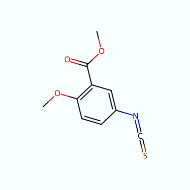 COC(=O)c1cc(N=C=S)ccc1OC